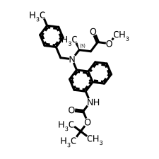 COC(=O)C[C@H](C)N(Cc1ccc(C)cc1)c1ccc(NC(=O)OC(C)(C)C)c2ccccc12